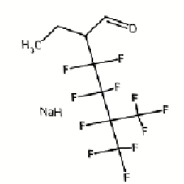 CCC(C=O)C(F)(F)C(F)(F)C(F)(C(F)(F)F)C(F)(F)F.[NaH]